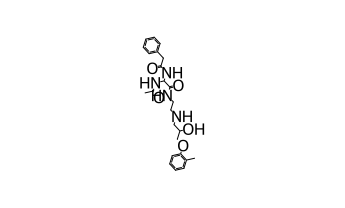 CC(=O)NC(NC(=O)Cc1ccccc1)C(=O)NCCNCC(O)COc1ccccc1C